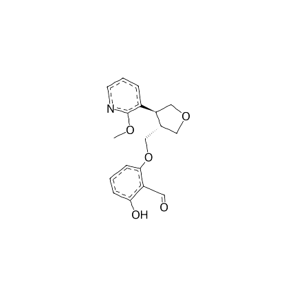 COc1ncccc1[C@H]1COC[C@@H]1COc1cccc(O)c1C=O